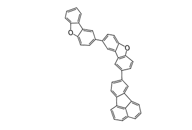 c1cc2c3c(cccc3c1)-c1cc(-c3ccc4oc5ccc(-c6ccc7oc8ccccc8c7c6)cc5c4c3)ccc1-2